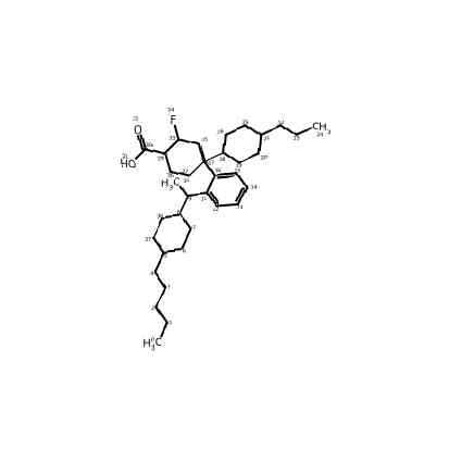 CCCCCC1CCC(C(C)c2ccccc2C2(C3CCC(CCC)CC3)CCC(C(=O)O)C(F)C2)CC1